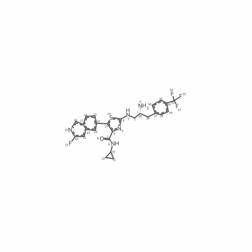 N[C@@H](CNc1nc(C(=O)NC2CC2)c(-c2ccc3cnc(F)cc3c2)s1)Cc1ccc(C(F)(F)F)cc1